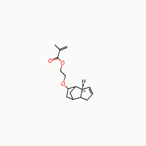 C=C(C)C(=O)OCCOC1CC2CC1[C@@H]1C=CCC21